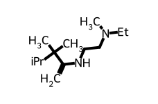 C=C(NCCN(C)CC)C(C)(C)C(C)C